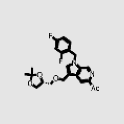 CC(=O)c1cc2c(COC[C@@H]3COC(C)(C)O3)cn(Cc3ccc(F)cc3F)c2cn1